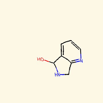 OC1NCc2ncccc21